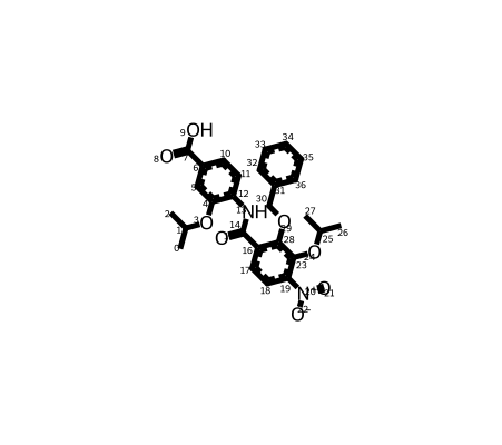 CC(C)Oc1cc(C(=O)O)ccc1NC(=O)c1ccc([N+](=O)[O-])c(OC(C)C)c1OCc1ccccc1